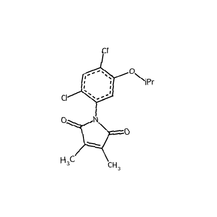 CC1=C(C)C(=O)N(c2cc(OC(C)C)c(Cl)cc2Cl)C1=O